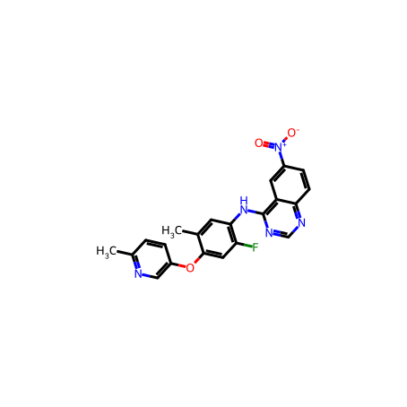 Cc1ccc(Oc2cc(F)c(Nc3ncnc4ccc([N+](=O)[O-])cc34)cc2C)cn1